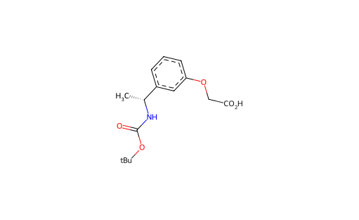 C[C@@H](NC(=O)OC(C)(C)C)c1cccc(OCC(=O)O)c1